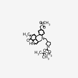 Cn1cc2c3c(c[nH]c3c1=O)CN(CC1CCN(C(=O)OC(C)(C)C)C1)c1ccc(CS(C)(=O)=O)cc1-2